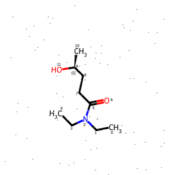 CCN(CC)C(=O)CC[C@H](C)O